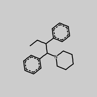 CCC(c1ccccc1)C(c1ccccc1)N1CCCCC1